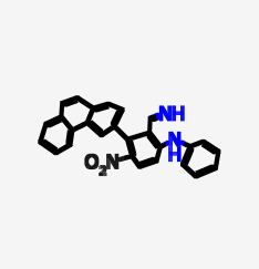 N=Cc1c(Nc2ccccc2)ccc([N+](=O)[O-])c1-c1ccc2ccc3ccccc3c2c1